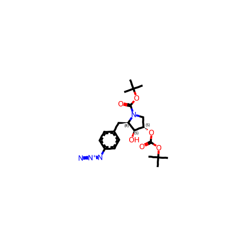 CC(C)(C)OC(=O)O[C@H]1CN(C(=O)OC(C)(C)C)[C@H](Cc2ccc(N=[N+]=[N-])cc2)[C@@H]1O